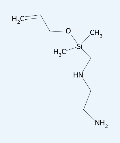 C=CCO[Si](C)(C)CNCCN